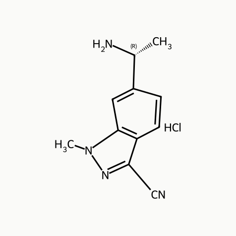 C[C@@H](N)c1ccc2c(C#N)nn(C)c2c1.Cl